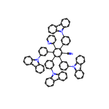 N#Cc1c(-c2cccc(-n3c4ccccc4c4ccccc43)c2)c(-c2cccc(-n3c4ccccc4c4ccccc43)c2)c(-c2cccc(-n3c4ccccc4c4ccccc43)c2)c(-c2ccccn2)c1-c1cccc(-n2c3ccccc3c3ccccc32)c1